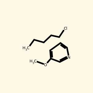 CCCCCCl.COc1cccnc1